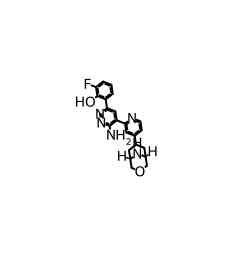 Nc1nnc(-c2cccc(F)c2O)cc1-c1cc(C2C[C@H]3COC[C@@H](C2)N3)ccn1